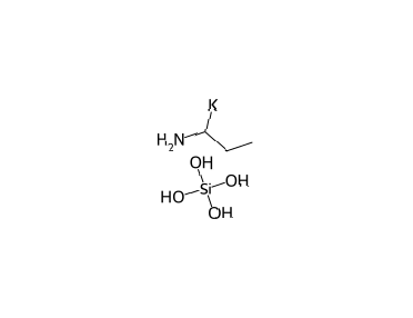 CC[CH](N)[K].O[Si](O)(O)O